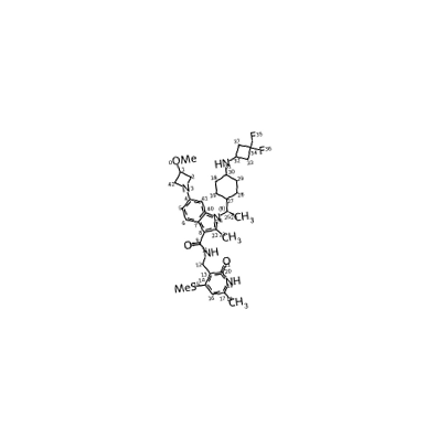 COC1CN(c2ccc3c(C(=O)NCc4c(SC)cc(C)[nH]c4=O)c(C)n([C@H](C)C4CCC(NC5CC(F)(F)C5)CC4)c3c2)C1